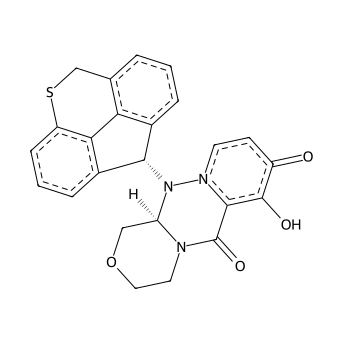 O=C1c2c(O)c(=O)ccn2N([C@H]2c3cccc4c3-c3c(cccc32)SC4)[C@@H]2COCCN12